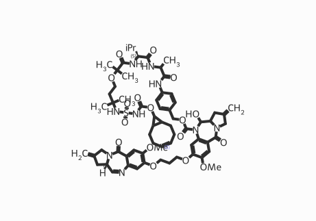 C=C1CC2C(O)N(C(=O)OCc3ccc(NC(=O)C(C)NC(=O)[C@@H](NC(=O)C(C)(C)OCCC(C)(C)NS(=O)(=O)NC(=O)OC4C5CC/C=C\CCC54)C(C)C)cc3)c3cc(OCCCOc4cc5c(cc4OC)C(=O)N4CC(=C)C[C@H]4C=N5)c(OC)cc3C(=O)N2C1